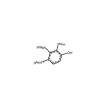 CCCCCCCCCc1c(O)ccc(CCCCC)c1CCCCCCC